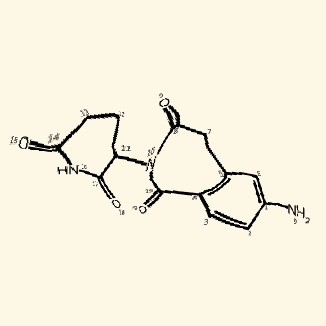 Nc1ccc2c(c1)CC(=O)N(C1CCC(=O)NC1=O)C2=O